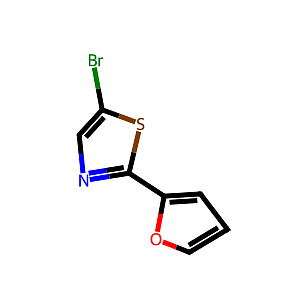 Brc1cnc(-c2ccco2)s1